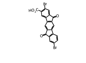 O=C(O)c1cc2c(cc1Br)c(=O)c1cc3c(cc12)c(=O)c1cc(Br)ccc13